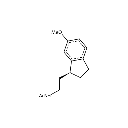 COc1ccc2c(c1)[C@H](CCNC(C)=O)CC2